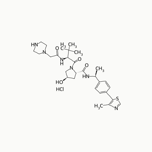 Cc1ncsc1-c1ccc([C@H](C)NC(=O)[C@@H]2C[C@@H](O)CN2C(=O)[C@@H](NC(=O)CN2CCNCC2)C(C)(C)C)cc1.Cl